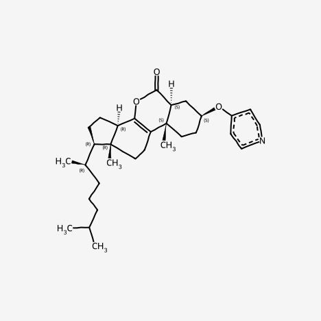 CC(C)CCC[C@@H](C)[C@H]1CC[C@H]2C3=C(CC[C@]12C)[C@@]1(C)CC[C@H](Oc2ccncc2)C[C@@H]1C(=O)O3